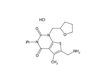 Cc1c(CN)sc2c1c(=O)n(C(C)C)c(=O)n2CC1CCCO1.Cl